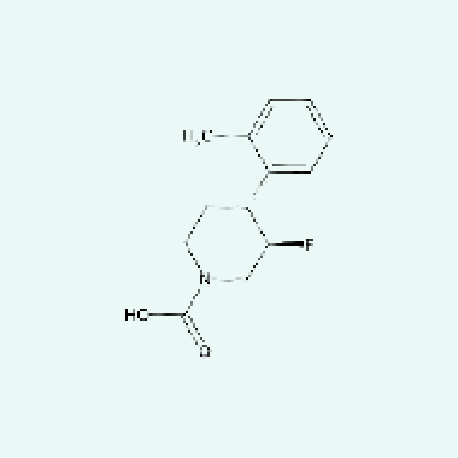 Cc1ccccc1[C@H]1CCN(C(=O)O)C[C@@H]1F